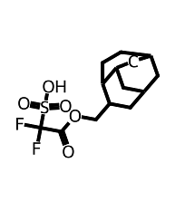 O=C(OCC1CC2CC3CCC1C(C3)C2)C(F)(F)S(=O)(=O)O